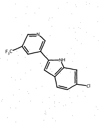 FC(F)(F)c1cncc(-c2cc3ccc(Cl)cc3[nH]2)c1